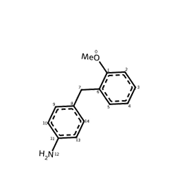 COc1c[c]ccc1Cc1ccc(N)cc1